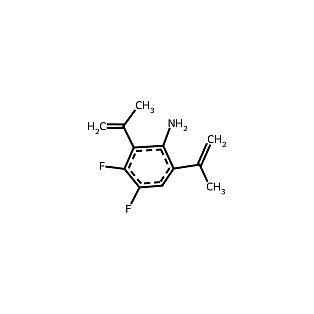 C=C(C)c1cc(F)c(F)c(C(=C)C)c1N